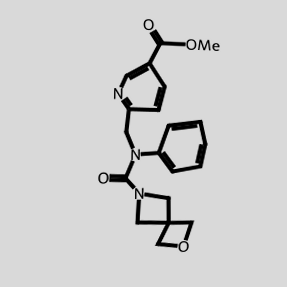 COC(=O)c1ccc(CN(C(=O)N2CC3(COC3)C2)c2ccccc2)nc1